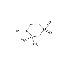 CC(C)N1CCS(=O)(=O)CC1(C)C